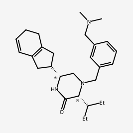 CCC(CC)[C@@H]1C(=O)N[C@H](C2CC3=C(CCC=C3)C2)CN1Cc1cccc(CN(C)C)c1